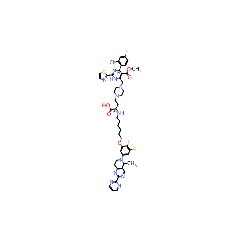 COC(=O)C1=C(CN2CCN(CC[C@@H](NCCCCCCOc3cc(N4CCc5nc(-c6ncccn6)ncc5C4C)cc(F)c3F)C(=O)O)CC2)NC(c2nccs2)=N[C@H]1c1ccc(F)cc1Cl